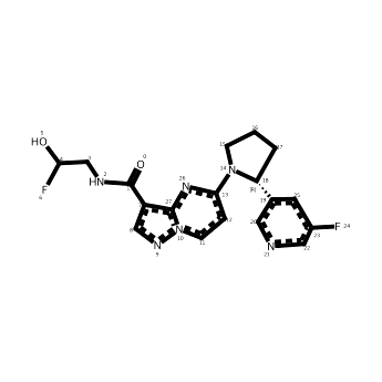 O=C(NCC(O)F)c1cnn2ccc(N3CCC[C@@H]3c3cncc(F)c3)nc12